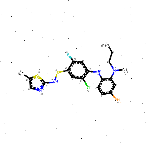 CNCCN(C)c1cc(P)ccc1Nc1cc(F)c(SNc2ncc(C)s2)cc1Cl